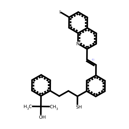 CC(C)(O)c1ccccc1CCC(S)c1cccc(/C=C/c2ccc3ccc(I)cc3n2)c1